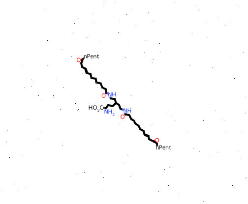 CCCCCC1OC1CC=CCCCCCCCC(=O)NCCC(CCNC(=O)CCCCCCCC=CCC1OC1CCCCC)CCC(N)C(=O)O